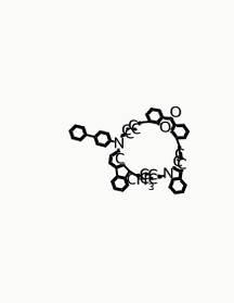 CC12c3ccc(cc3)-n3c4ccccc4c4cc(ccc43)-c3cccc4c(=O)c5cccc(c5oc34)-c3ccc(cc3)N(c3ccc(-c4ccccc4)cc3)c3ccc(c1c3)-c1ccccc12